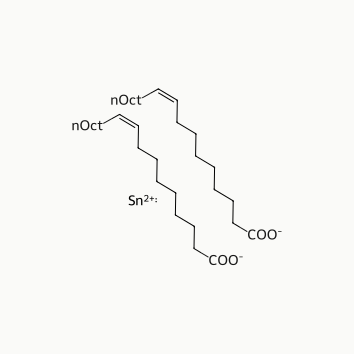 CCCCCCCC/C=C\CCCCCCCC(=O)[O-].CCCCCCCC/C=C\CCCCCCCC(=O)[O-].[Sn+2]